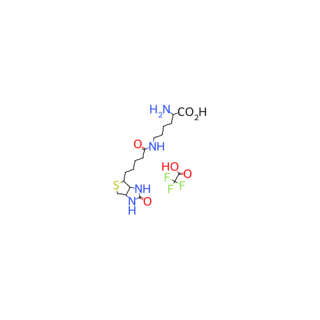 NC(CCCCNC(=O)CCCCC1SCC2NC(=O)NC21)C(=O)O.O=C(O)C(F)(F)F